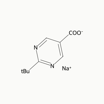 CC(C)(C)c1ncc(C(=O)[O-])cn1.[Na+]